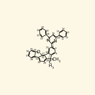 CC1(C)c2ccc(-c3nc(-c4ccccc4)cc(-c4ccccc4)n3)cc2-c2c1ccc1c2oc2ccccc21